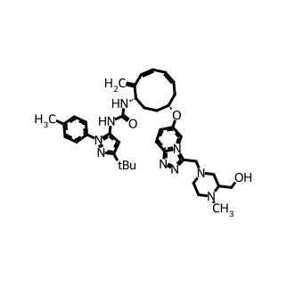 C=C1/C=C\C=C/C[C@H](Oc2ccc3nnc(CN4CCN(C)C(CO)C4)n3c2)CC[C@@H]1NC(=O)Nc1cc(C(C)(C)C)nn1-c1ccc(C)cc1